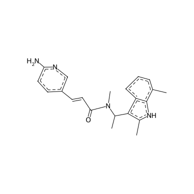 Cc1[nH]c2c(C)cccc2c1C(C)N(C)C(=O)C=Cc1ccc(N)nc1